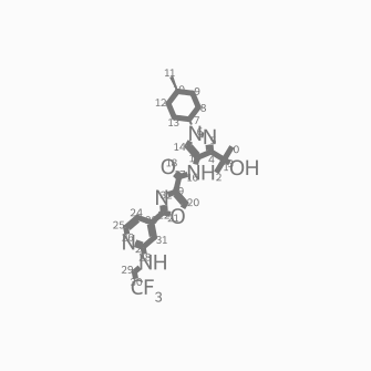 CC(C)(O)c1nn([C@H]2CC[C@H](C)CC2)cc1NC(=O)c1coc(-c2ccnc(NCC(F)(F)F)c2)n1